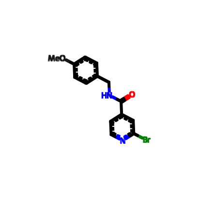 COc1ccc(CNC(=O)c2ccnc(Br)c2)cc1